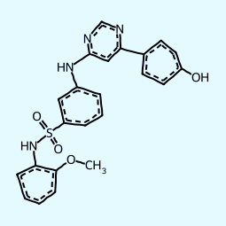 COc1ccccc1NS(=O)(=O)c1cccc(Nc2cc(-c3ccc(O)cc3)ncn2)c1